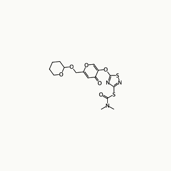 CN(C)C(=O)Sc1nsc(Oc2coc(COC3CCCCO3)cc2=O)n1